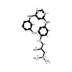 Cc1cccc(Nc2cc(Nc3ccc(OCC(O)CN(C)C)cc3)ncn2)c1